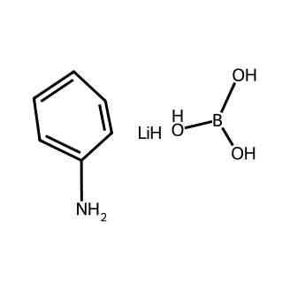 Nc1ccccc1.OB(O)O.[LiH]